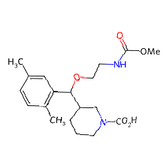 COC(=O)NCCOC(c1cc(C)ccc1C)C1CCCN(C(=O)O)C1